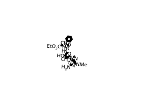 CCOC(=O)[C@@H](C)N[P@](=O)(OC[C@H]1O[C@@H](n2cnc3c(NC)nc(N)nc32)[C@@](Cl)(C(F)(F)F)[C@@H]1O)Oc1ccccc1